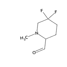 CN1CC(F)(F)CCC1C=O